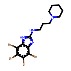 Brc1c(Br)c(Br)c2[nH]c(NCCCN3CCCCC3)nc2c1Br